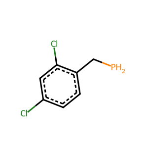 PCc1ccc(Cl)cc1Cl